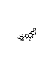 O=C1Nc2cnc(Cl)cc2CN2C=C(c3ccc(F)cc3)CC12